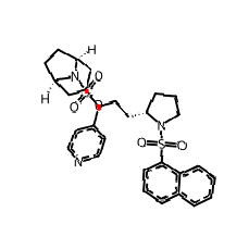 O=S(=O)(CCC[C@@H]1CCCN1S(=O)(=O)c1cccc2ccccc12)N1[C@@H]2CC[C@H]1C[C@H](Oc1ccncc1)C2